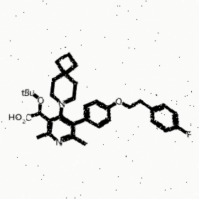 Cc1nc(C)c(C(OC(C)(C)C)C(=O)O)c(N2CCC3(CCC3)CC2)c1-c1ccc(OCCc2ccc(F)cc2)cc1